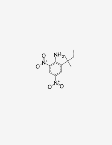 CCC(C)(C)c1cc([N+](=O)[O-])cc([N+](=O)[O-])c1N